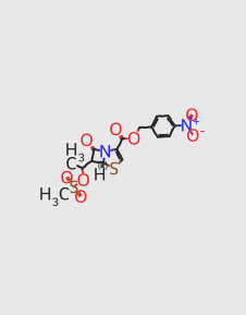 CC(OS(C)(=O)=O)C1C(=O)N2C(C(=O)OCc3ccc([N+](=O)[O-])cc3)=CS[C@H]12